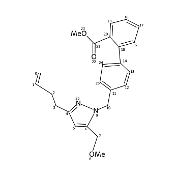 C=CCCc1cc(COC)n(Cc2ccc(-c3ccccc3C(=O)OC)cc2)n1